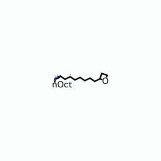 CCCCCCCC/C=C\C[CH]CCCCCC1CCO1